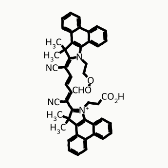 CC1(C)C(/C(C#N)=C/C=C/C(C#N)=C2\N(CCOC=O)c3c(c4ccccc4c4ccccc34)C2(C)C)=[N+](CCC(=O)O)c2c1c1ccccc1c1ccccc21